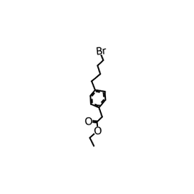 CCOC(=O)Cc1ccc(CCCCBr)cc1